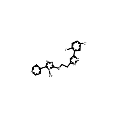 CCn1c(SCCc2cc(-c3cc(Cl)ccc3F)on2)nnc1-c1ccncc1